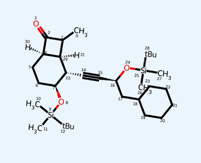 CC1C(=O)[C@@H]2CC[C@H](O[Si](C)(C)C(C)(C)C)[C@@H](C#C[C@H](CC3CCCCC3)O[Si](C)(C)C(C)(C)C)[C@H]12